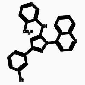 CCc1cccc(-c2cc(Nc3ccccc3C(=O)O)n(-c3ccnc4ccccc34)n2)c1